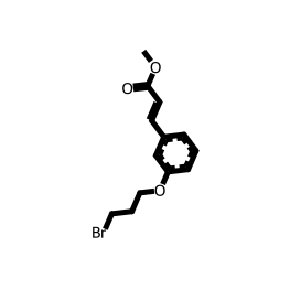 COC(=O)/C=C/c1cccc(OCCCBr)c1